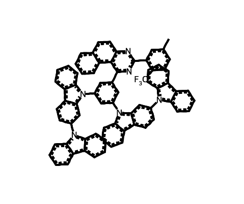 Cc1ccc(C(F)(F)F)c(-c2nc(-c3cc(-n4c5ccccc5c5ccc(-n6c7ccccc7c7ccccc76)cc54)cc(-n4c5ccccc5c5ccc(-n6c7ccccc7c7ccccc76)cc54)c3)c3c(ccc4ccccc43)n2)c1